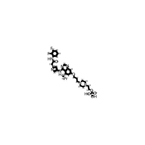 CC(C)Oc1cc(OCCCN2CCN(CCOP(=O)(O)O)CC2)cc2ncnc(Nc3cnn(CC(=O)Nc4cccc(F)c4F)c3)c12